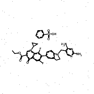 CCOC(=O)c1cn(C2CC2)c2c(F)c(-c3ccc4c(c3)CCN4Cc3cnc(N)nc3N)c(F)cc2c1=O.O=S(=O)(O)c1ccccc1